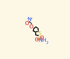 CN(C)C(=O)COc1ccc2sc(S(N)(=O)=O)cc2c1